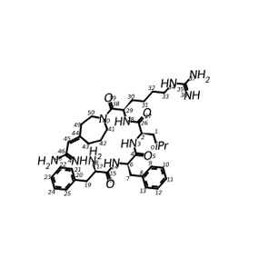 CC(C)C[C@@H](NC(=O)[C@@H](Cc1ccccc1)NC(=O)[C@H](N)Cc1ccccc1)C(=O)N[C@H](CCCCNC(=N)N)C(=O)N1CCC/C(=C\C(=N)N)CC1